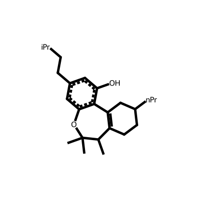 CCCC1CCC2=C(C1)c1c(O)cc(CCC(C)C)cc1OC(C)(C)C2C